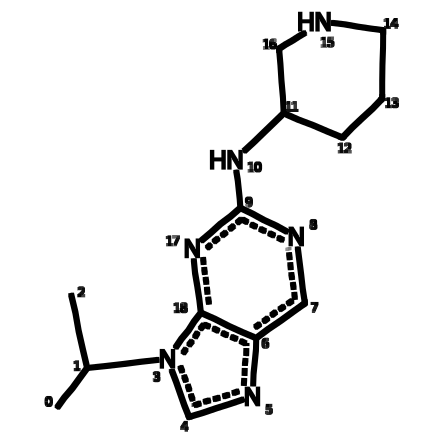 CC(C)n1cnc2cnc(NC3CCCNC3)nc21